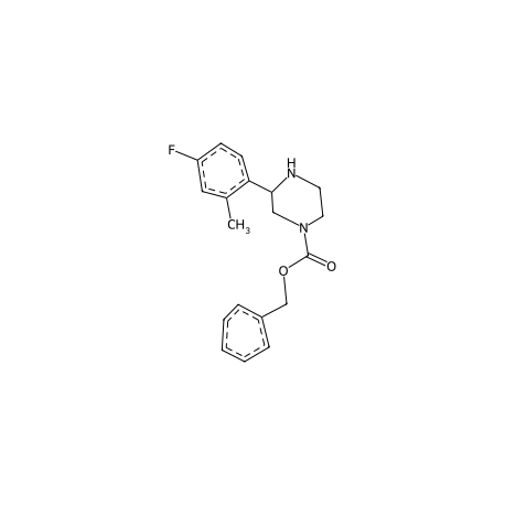 Cc1cc(F)ccc1C1CN(C(=O)OCc2ccccc2)CCN1